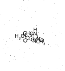 CC(=NOCc1ccc(N(C)C)c2ccccc12)C1(N2CCOCC2)CCNC(=O)CC1